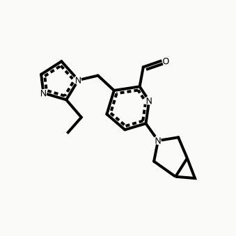 CCc1nccn1Cc1ccc(N2CC3CC3C2)nc1C=O